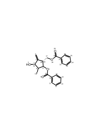 C=C1[C@H](O)C(F)C(OC(=O)c2ccccc2)[C@H]1COC(=O)c1ccccc1